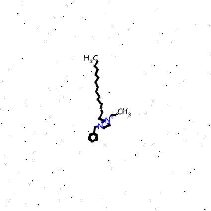 CCCCCCCCCCCCCCCc1n(Cc2ccccc2)cc[n+]1CCC